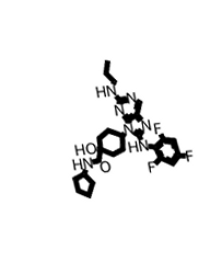 CCCNc1ncc2nc(Nc3c(F)cc(F)cc3F)n(C3CCC(O)(C(=O)NC4CCCC4)CC3)c2n1